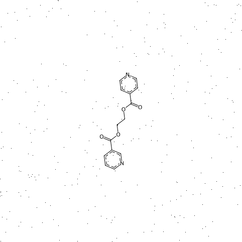 O=C(OCCOC(=O)c1cccnc1)c1ccncc1